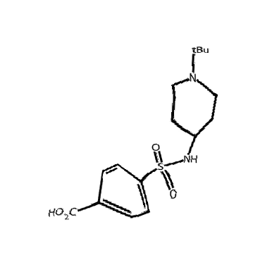 CC(C)(C)N1CCC(NS(=O)(=O)c2ccc(C(=O)O)cc2)CC1